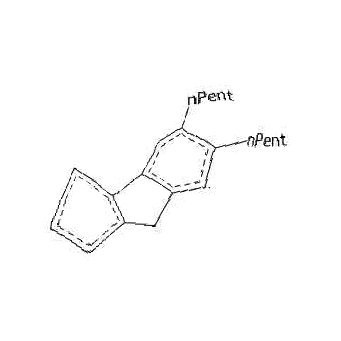 CCCCCc1[c]c2c(cc1CCCCC)-c1ccccc1C2